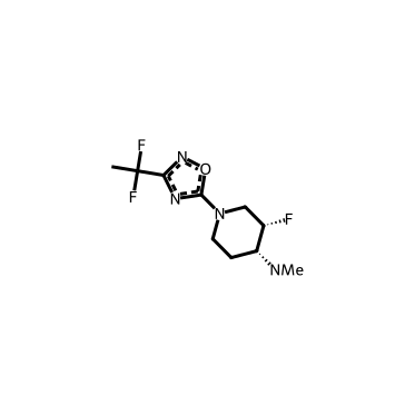 CN[C@@H]1CCN(c2nc(C(C)(F)F)no2)C[C@@H]1F